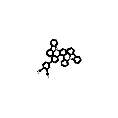 N#Cc1ccc(-c2ccc(-c3c(-c4ccccc4-n4c5ccccc5c5ccccc54)cccc3-n3c4ccccc4c4ccccc43)cc2)cc1C#N